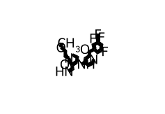 COCCN1CCC(Nc2ccnc(C(=O)c3cc(F)cc(C(F)(F)F)c3)c2)=C(C=N)C1=O